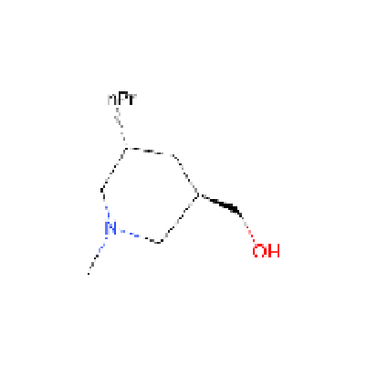 CCC[C@@H]1C[C@@H](CO)CN(C)C1